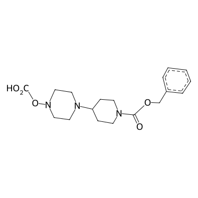 O=C(O)ON1CCN(C2CCN(C(=O)OCc3ccccc3)CC2)CC1